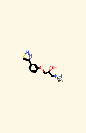 CC(C)NCC(O)COc1cccc(-c2csnn2)c1